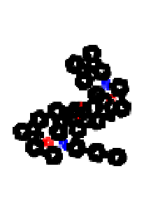 CC1(c2cccc3c2oc2c(N(c4ccc(-c5ccc(-c6ccccc6)cc5)cc4)c4ccc5c(c4)C(c4ccccc4)(c4cccc(-c6ccc7c(c6)-c6ccccc6C7(C)c6cccc7c6oc6c(N(c8ccc(-c9ccccc9)cc8)c8ccc9c(c8)C(c8ccccc8)(c8ccccc8)c8ccccc8-9)cccc67)c4)c4ccccc4-5)cccc23)c2ccccc2-c2ccccc21